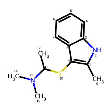 Cc1[nH]c2ccccc2c1SC(C)N(C)C